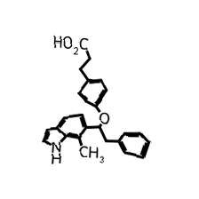 Cc1c(C(Cc2ccccc2)Oc2ccc(CCC(=O)O)cc2)ccc2cc[nH]c12